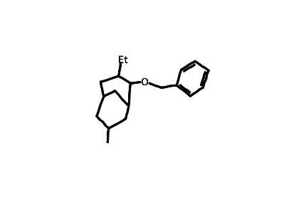 CCC1CC2CC(C)CC(C2)C1OCc1ccccc1